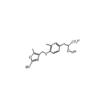 CCCOC(Cc1ccc(OCc2nc(C(C)(C)C)oc2C)c(C)c1)C(=O)O